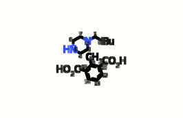 CCC(C)CN1CCNCC1.Cc1c(C(=O)O)cccc1C(=O)O